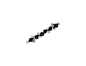 O=C(Oc1ccc(-c2ccc(OC(=O)c3ccc(NC(=O)c4ccc(Cl)cc4Cl)cc3)cc2)cc1)c1ccc(NC(=O)c2ccc(Cl)cc2Cl)cc1